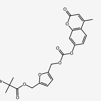 Cc1cc(=O)oc2cc(OC(=O)OCc3ccc(COC(=O)C(C)(C)Br)o3)ccc12